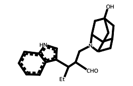 CCC(c1c[nH]c2ccccc12)C(C=O)CN1C2CC3CC1CC(O)(C3)C2